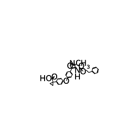 Cc1noc(-c2ccc(Oc3ccc(C4(C(=O)O)CC4)cc3)cc2)c1NC(=O)OCCc1ccccc1